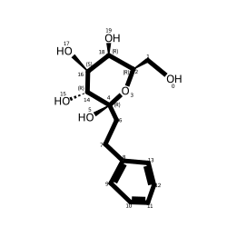 OC[C@H]1O[C@](O)(CCc2ccccc2)[C@H](O)[C@@H](O)[C@H]1O